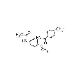 [CH2]c1ccc(C(=O)Nc2cc(NC(C)=O)ccc2OC)cc1